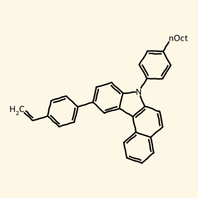 C=Cc1ccc(-c2ccc3c(c2)c2c4ccccc4ccc2n3-c2ccc(CCCCCCCC)cc2)cc1